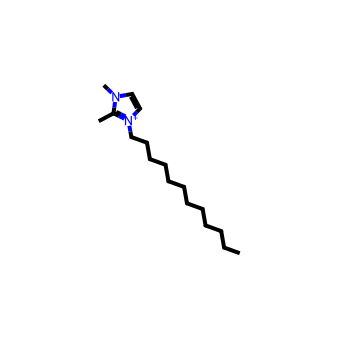 CCCCCCCCCCCC[n+]1ccn(C)c1C